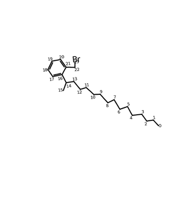 CCCCCCCCCCCCCCC(C)c1ccccc1CBr